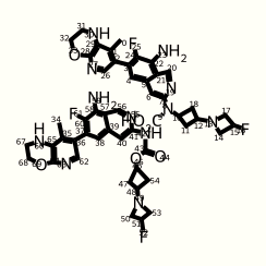 Cc1c(-c2cc3cc(N(C(=O)O)C4CC(N5CC(F)C5)C4)ncc3c(N)c2F)cnc2c1NCCO2.Cc1c(-c2cc3cc(NC(=O)OC4CC(N5CC(F)C5)C4)ncc3c(N)c2F)cnc2c1NCCO2